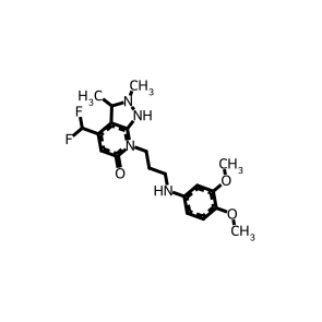 COc1ccc(NCCCn2c3c(c(C(F)F)cc2=O)C(C)N(C)N3)cc1OC